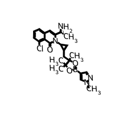 C[C@H](N)c1cc2cccc(Cl)c2c(=O)n1C1CC1CC1(C)OB(c2cnn(C)c2)OC1(C)C